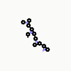 Cc1cccc(-n2c3cc(-c4ccc(-n5c6ccccc6c6cc(-c7ccc8c9ccccc9n(I)c8c7)ccc65)cc4)ccc3c3ccc(-c4ccc5c(c4)c4ccccc4n5-c4ccccc4)cc32)c1